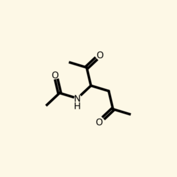 CC(=O)CC(NC(C)=O)C(C)=O